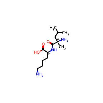 CC(C)C[C@](C)(N)C(=O)N[C@@H](CCCCN)C(=O)O